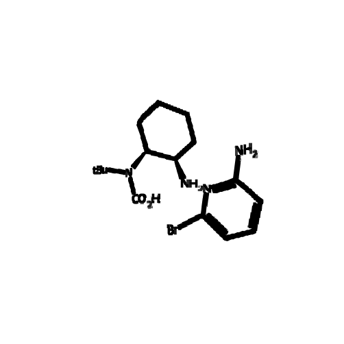 CC(C)(C)N(C(=O)O)[C@H]1CCCC[C@H]1N.Nc1cccc(Br)n1